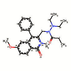 CCC(=O)N(Cc1c(-c2ccccc2)c2cc(OC)ccc2c(=O)n1C)N(CC)CC